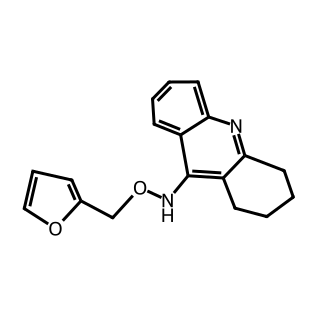 c1coc(CONc2c3c(nc4ccccc24)CCCC3)c1